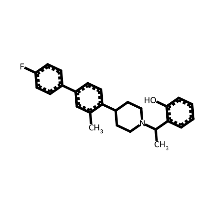 Cc1cc(-c2ccc(F)cc2)ccc1C1CCN(C(C)c2ccccc2O)CC1